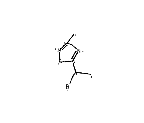 CCC(C)C1=NC(C)=NC1